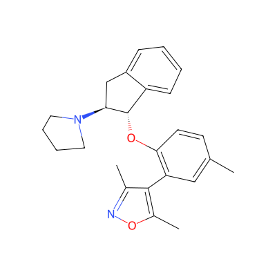 Cc1ccc(O[C@H]2c3ccccc3C[C@@H]2N2CCCC2)c(-c2c(C)noc2C)c1